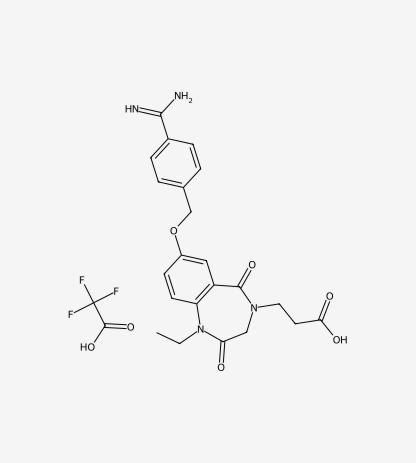 CCN1C(=O)CN(CCC(=O)O)C(=O)c2cc(OCc3ccc(C(=N)N)cc3)ccc21.O=C(O)C(F)(F)F